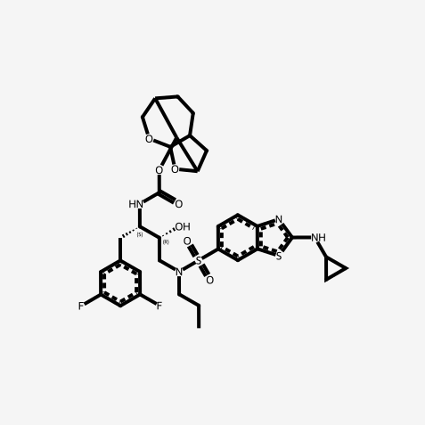 CCCN(C[C@@H](O)[C@H](Cc1cc(F)cc(F)c1)NC(=O)OC1C2CCC3CC1OC3OC2)S(=O)(=O)c1ccc2nc(NC3CC3)sc2c1